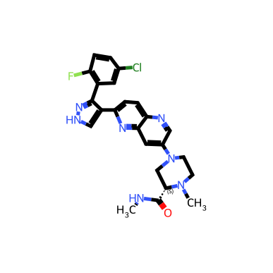 CNC(=O)[C@@H]1CN(c2cnc3ccc(-c4c[nH]nc4-c4cc(Cl)ccc4F)nc3c2)CCN1C